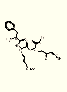 CC(=O)NCCCC[C@H](NC(=O)[C@@H](N)Cc1ccccc1)C(=O)N[C@@H](CCC(=O)C=[N+]=N)C(=O)OC(C)C